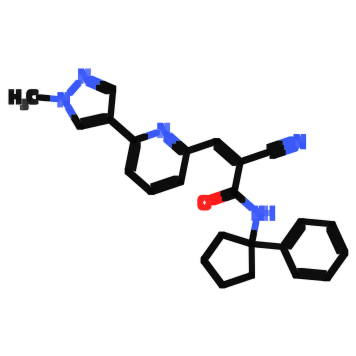 Cn1cc(-c2cccc(C=C(C#N)C(=O)NC3(c4ccccc4)CCCC3)n2)cn1